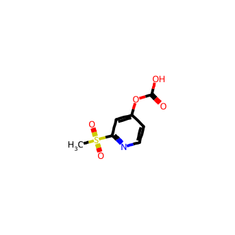 CS(=O)(=O)c1cc(OC(=O)O)ccn1